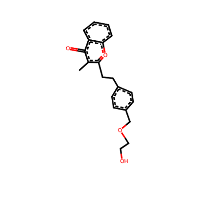 Cc1c(CCc2ccc(COCCO)cc2)oc2ccccc2c1=O